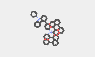 C1=CC(n2c3ccccc3c3c(-c4ccc(N(c5ccccc5-c5cccc6cccc(-c7ccccc7)c56)c5ccccc5-c5cccc6cccc(-c7ccccc7)c56)cc4)cccc32)=CCC1